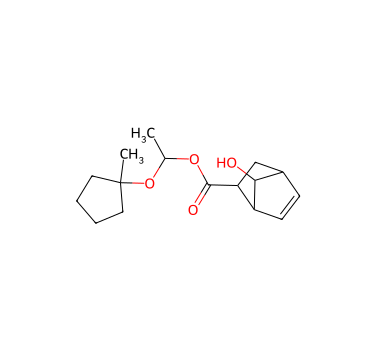 CC(OC(=O)C1CC2C=CC1C2O)OC1(C)CCCC1